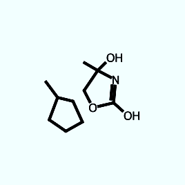 CC1(O)COC(O)=N1.CC1CCCC1